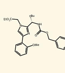 CCCC[C@H](NC(=O)OCc1ccccc1)c1nc(-c2ccccc2OC)cn1CC(=O)OCC